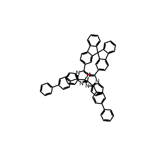 c1ccc(-c2ccc(-c3nc(-c4ccccc4)nc(-c4ccc5c(c4)C4(c6ccccc6-5)c5ccccc5-c5ccc(-c6nc(-c7ccccc7)nc(-c7ccc(-c8ccccc8)cc7)n6)cc54)n3)cc2)cc1